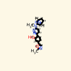 Cc1ncc(-c2ccc(-c3ccc(N(C)[C@@H]4C[C@H]5CC[C@@H](C4)N5)nn3)c(O)c2)o1